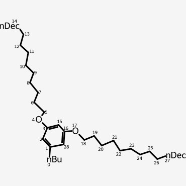 [CH2]CCCc1cc(OCCCCCCCCCCCCCCCCCCC)cc(OCCCCCCCCCCCCCCCCCCC)c1